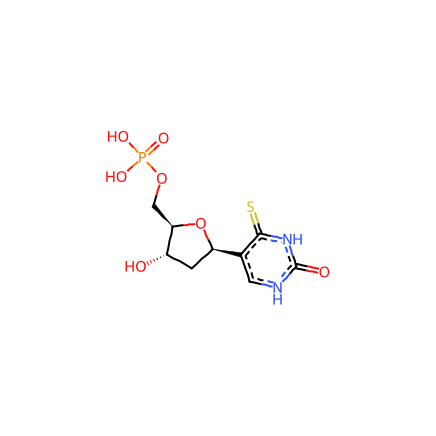 O=c1[nH]cc([C@H]2C[C@H](O)[C@@H](COP(=O)(O)O)O2)c(=S)[nH]1